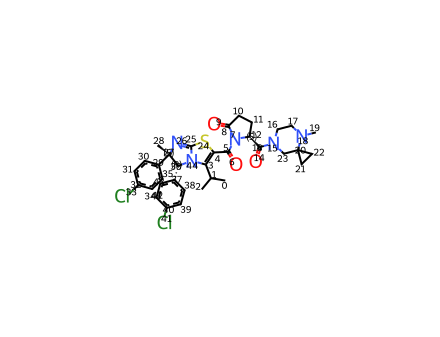 CC(C)C1=C(C(=O)N2C(=O)CC[C@H]2C(=O)N2CCN(C)C3(CC3)C2)SC2=N[C@@](C)(c3ccc(Cl)cc3)[C@@H](c3ccc(Cl)cc3)N21